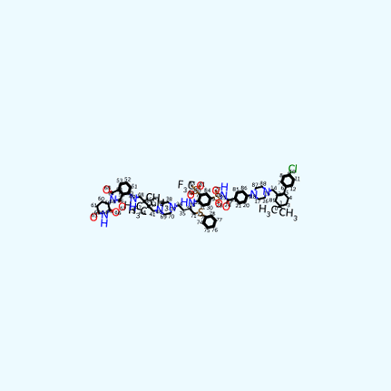 CC1(C)CCC(c2ccc(Cl)cc2)=C(CN2CCN(c3ccc(C(=O)NS(=O)(=O)c4ccc(N[C@H](CCN5CCN(CC(C)(C)C(C)(C)CNc6cccc7c6C(=O)N([C@H]6CCC(=O)NC6=O)C7=O)CC5)CSc5ccccc5)c(S(=O)(=O)C(F)(F)F)c4)cc3)CC2)C1